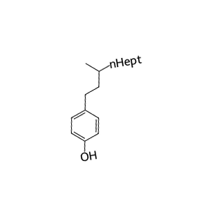 CCCCCCCC(C)CCc1ccc(O)cc1